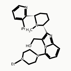 CCN1CCN(c2cccc3nc([C@H]4CCC[C@@H](c5ncccc5C(C)C)N4C)c(CO)n23)CC1